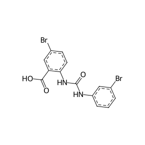 O=C(Nc1cccc(Br)c1)Nc1ccc(Br)cc1C(=O)O